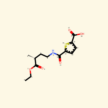 CCOC(=O)[C@H](C)CCNC(=O)c1ccc(C(=O)O)s1